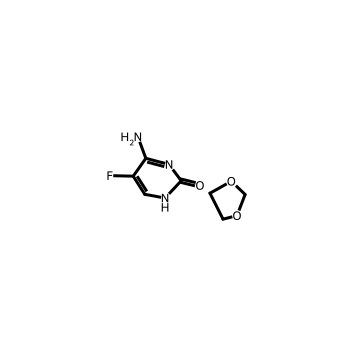 C1COCO1.Nc1nc(=O)[nH]cc1F